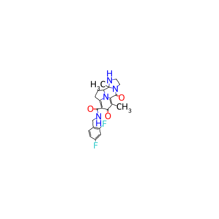 Cc1c2n3c(c(C(=O)NCc4ccc(F)cc4F)c1=O)CCC3C1(C)NCCN1C2=O